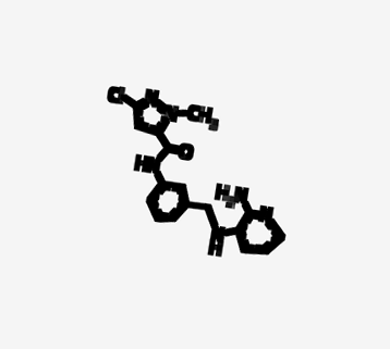 Cn1nc(Cl)cc1C(=O)Nc1cccc(CNc2cccnc2N)c1